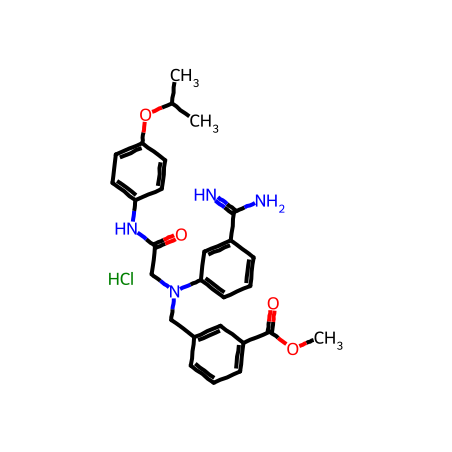 COC(=O)c1cccc(CN(CC(=O)Nc2ccc(OC(C)C)cc2)c2cccc(C(=N)N)c2)c1.Cl